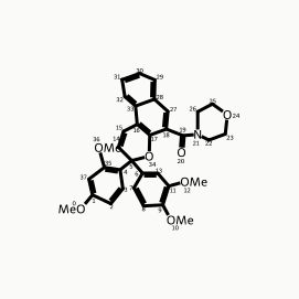 COc1ccc(C2(c3ccc(OC)c(OC)c3)C=Cc3c(c(C(=O)N4CCOCC4)cc4ccccc34)O2)c(OC)c1